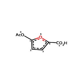 CC(=O)Oc1ccc(C(=O)O)o1